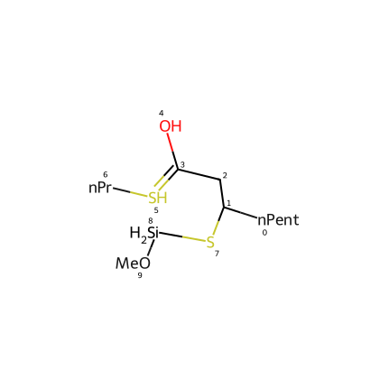 CCCCCC(CC(O)=[SH]CCC)S[SiH2]OC